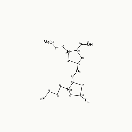 COCCN1CC(OCC2CC(F)CN2CCCF)CC1CO